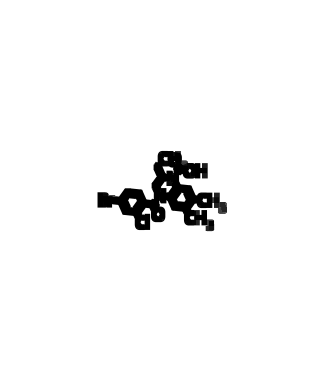 CCC1CN(C(=O)c2ccc(Br)cc2Cl)c2cc(C)c(C)cc2N1C(=O)O